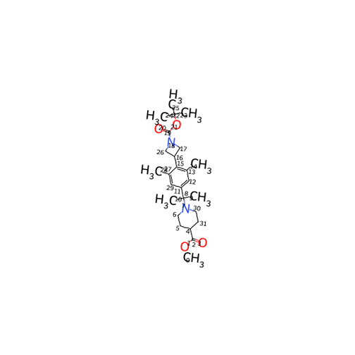 COC(=O)C1CCN(C(C)(C)c2cc(C)c(C3CN(C(=O)OC(C)(C)C)C3)c(C)c2)CC1